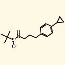 CC(C)(C)[S@+]([O-])NCCCc1ccc(C2CC2)cc1